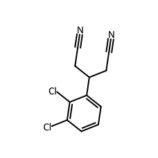 N#CCC(CC#N)c1cccc(Cl)c1Cl